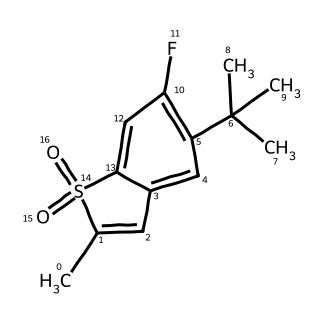 CC1=Cc2cc(C(C)(C)C)c(F)cc2S1(=O)=O